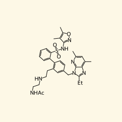 CCc1nc2c(C)cc(C)nc2n1Cc1ccc(-c2ccccc2S(=O)(=O)Nc2noc(C)c2C)c(CCNCCNC(C)=O)c1